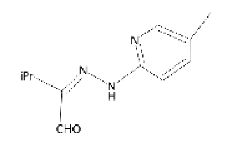 Cc1ccc(N/N=C(\C=O)C(C)C)nc1